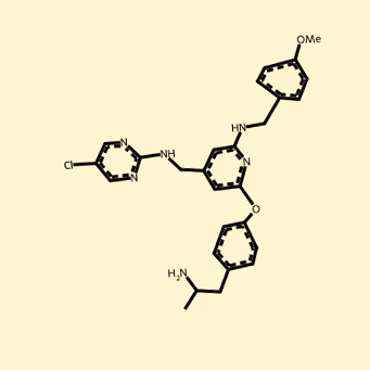 COc1ccc(CNc2cc(CNc3ncc(Cl)cn3)cc(Oc3ccc(CC(C)N)cc3)n2)cc1